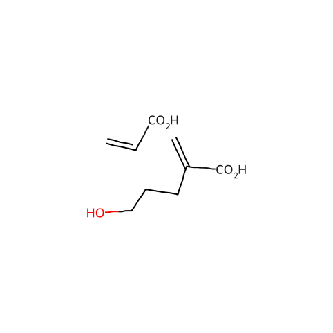 C=C(CCCO)C(=O)O.C=CC(=O)O